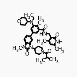 CCN(c1cc(-c2ccc3c(c2)n(C2CCN(C(=O)C(C)C)CC2)c(=O)n3C)cc(C(=O)NCc2c(C)cc(C)[nH]c2=O)c1C)C1CCOCC1